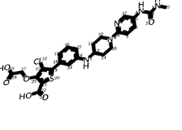 CNC(=O)Nc1ccc(N2CCC(Nc3cccc(-c4sc(C(=O)O)c(OCC(=O)O)c4Cl)c3)CC2)nc1